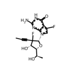 CC#CC1(F)[C@@H](O)[C@@H]([C@@H](C)O)O[C@H]1n1cc(F)c2c(=O)[nH]c(N)nc21